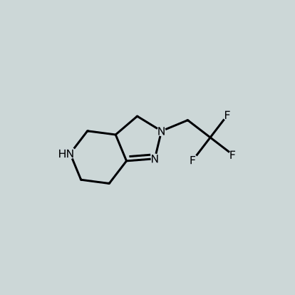 FC(F)(F)CN1CC2CNCCC2=N1